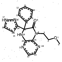 COCCN1C(=O)C(c2ccccc2)(c2nc[nH]n2)Nc2nccnc21